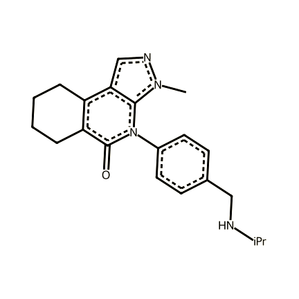 CC(C)NCc1ccc(-n2c(=O)c3c(c4cnn(C)c42)CCCC3)cc1